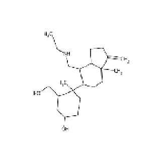 C=C1CCC2C(CNCC)C(C3(C)CCC(O)CC3CO)CCC12C